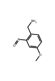 BCc1ccc(OC)cc1N=O